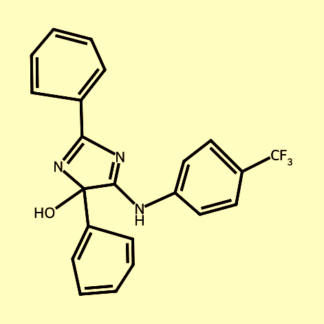 OC1(c2ccccc2)N=C(c2ccccc2)N=C1Nc1ccc(C(F)(F)F)cc1